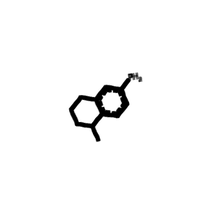 CC1CCCc2cc(P)ccc21